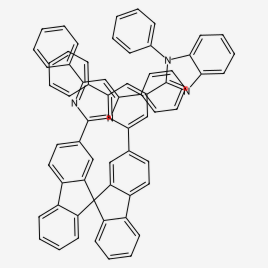 c1ccc(-c2cc(-c3ccc4c(c3)C3(c5ccccc5-4)c4ccccc4-c4ccc(-c5nc(-c6ccccc6)cc(-c6ccccc6)n5)cc43)cc(-c3nc4ccccc4n3-c3ccccc3)c2)cc1